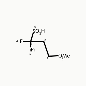 COCCC(F)(C(C)C)S(=O)(=O)O